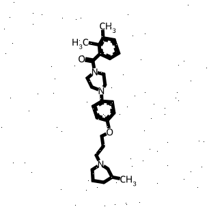 Cc1cccc(C(=O)N2CCN(c3ccc(OCCCN4CCCC(C)C4)cc3)CC2)c1C